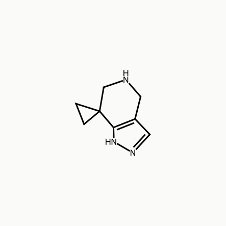 c1n[nH]c2c1CNCC21CC1